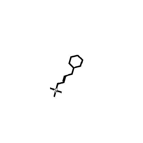 C[Si](C)(C)CC=CC[C]1CCCCC1